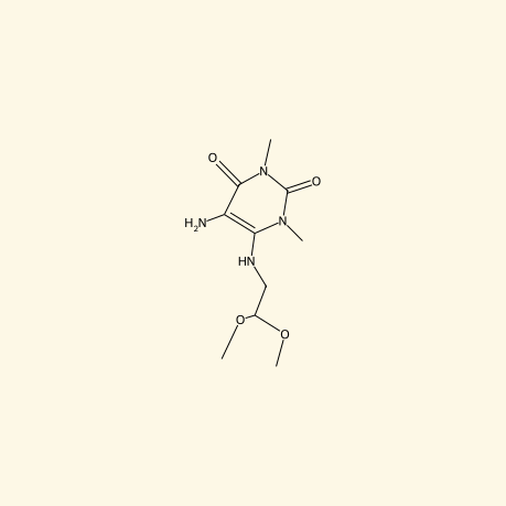 COC(CNc1c(N)c(=O)n(C)c(=O)n1C)OC